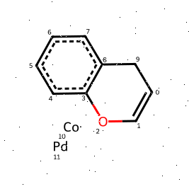 C1=COc2ccccc2C1.[Co].[Pd]